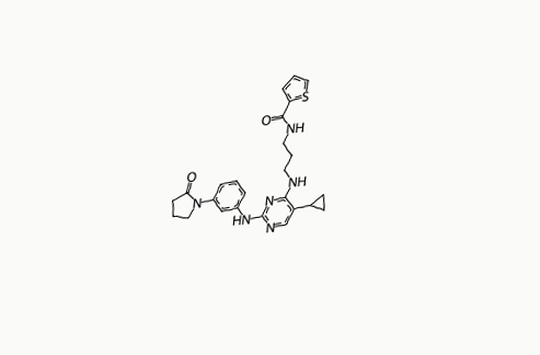 O=C(NCCCNc1nc(Nc2cccc(N3CCCC3=O)c2)ncc1C1CC1)c1cccs1